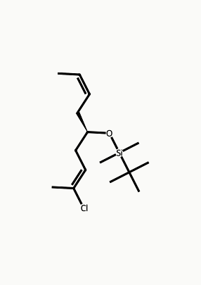 C/C=C\C[C@H](C/C=C(\C)Cl)O[Si](C)(C)C(C)(C)C